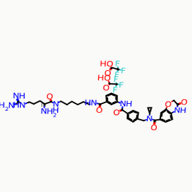 N=C(N)NCCC[C@H](N)C(=O)NCCCCCCNC(=O)c1cccc(NC(=O)c2ccc(CN(C(=O)c3ccc4c(c3)OCC(=O)N4)C3CC3)cc2)c1.O=C(O)C(F)(F)F.O=C(O)C(F)(F)F